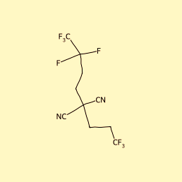 N#CC(C#N)(CCC(F)(F)F)CCC(F)(F)C(F)(F)F